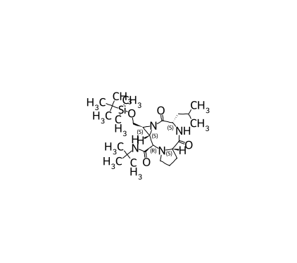 CC(C)C[C@@H]1NC(=O)[C@@H]2CCCN2[C@@H](C(=O)NC(C)(C)C)[C@@H]2[C@@H](CO[Si](C)(C)C(C)(C)C)N2C1=O